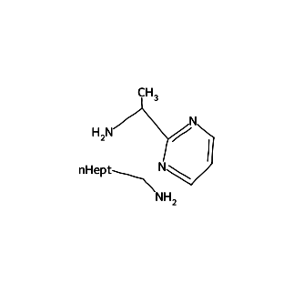 CC(N)c1ncccn1.CCCCCCCCN